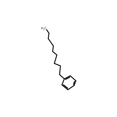 [CH2]CCCCCCCCc1ccccc1